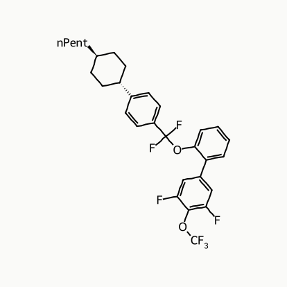 CCCCC[C@H]1CC[C@H](c2ccc(C(F)(F)Oc3ccccc3-c3cc(F)c(OC(F)(F)F)c(F)c3)cc2)CC1